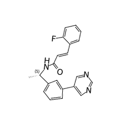 C[C@H](NC(=O)C=Cc1ccccc1F)c1cccc(-c2cncnc2)c1